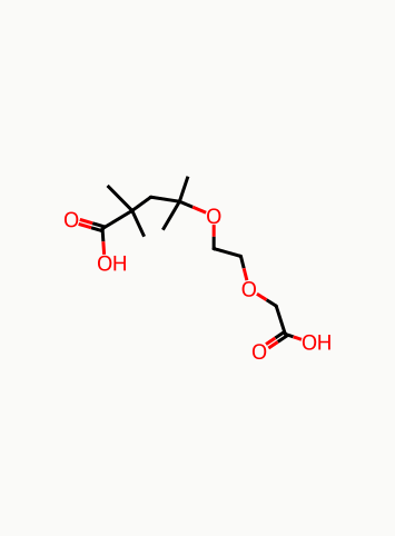 CC(C)(CC(C)(C)C(=O)O)OCCOCC(=O)O